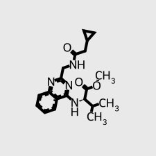 COC(=O)[C@@H](Nc1nc(CNC(=O)CC2CC2)nc2ccccc12)C(C)C